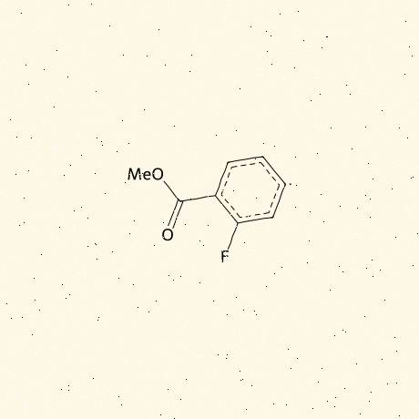 COC(=O)c1cc[c]cc1F